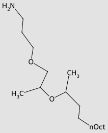 CCCCCCCCCCC(C)OC(C)COCCCN